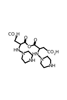 O=C(O)CC(NN1CCNCC1)C(=O)OC(=O)C(CC(=O)O)NN1CCNCC1